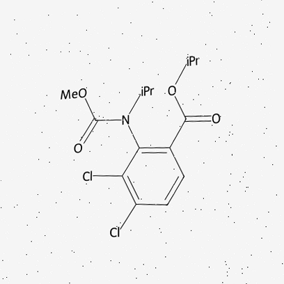 COC(=O)N(c1c(C(=O)OC(C)C)ccc(Cl)c1Cl)C(C)C